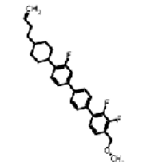 C=CCCC1CCC(c2ccc(-c3ccc(-c4ccc(COC)c(F)c4F)cc3)cc2F)CC1